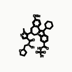 COc1ccc2c(c1)C=C(c1c(C(=O)N(CC3CCCO3)C(C)C)cnn1C)Cn1c-2c(C2CCCCC2)c2ccc(C(=O)NS(=O)(=O)C(C)C)cc21